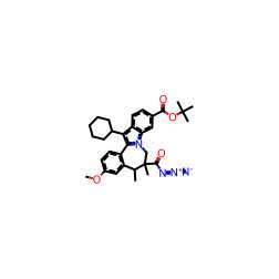 COc1ccc2c(c1)C(C)C(C)(C(=O)N=[N+]=[N-])Cn1c-2c(C2CCCCC2)c2ccc(C(=O)OC(C)(C)C)cc21